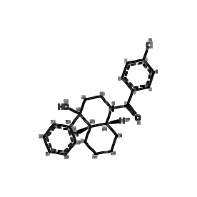 O=C(c1ccc(Cl)cc1)N1CCC(O)(c2ccccc2)[C@H]2CCCC[C@H]21